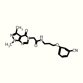 Cc1nn(C)c2ncn(CC(=O)NCCCOc3cccc(C#N)c3)c(=O)c12